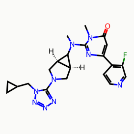 CN(c1nc(-c2ccncc2F)cc(=O)n1C)C1[C@H]2CN(c3nnnn3CC3CC3)C[C@@H]12